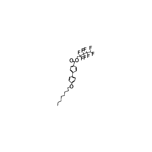 CCCCCCCCOc1ccc(-c2ccc(C(=O)OCC(F)(F)C(F)(F)C(F)(F)C(F)F)cc2)cc1